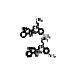 CCCOc1ccc(N)cc1NC(=O)c1c[nH]c2ccccc2c1=O.CCCOc1ccc(N)cc1NC(=O)c1c[nH]c2ccccc2c1=O